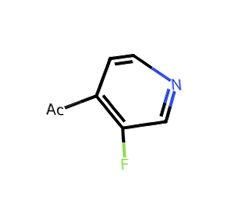 [CH2]C(=O)c1ccncc1F